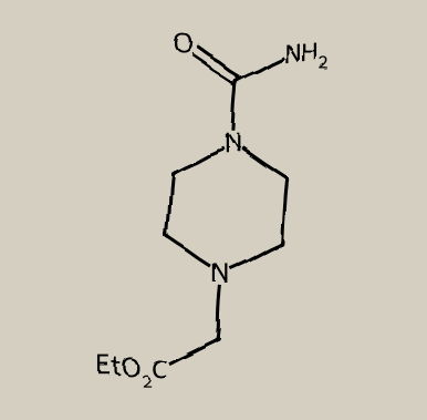 CCOC(=O)CN1CCN(C(N)=O)CC1